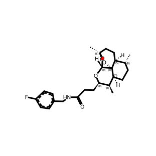 C[C@H]1[C@@H](CCC(=O)NCc2ccc(F)cc2)O[C@@H]2O[C@]3(C)CC[C@H]4[C@H](C)CC[C@@H]1[C@@]24OO3